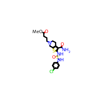 COC(=O)CCCN1CCc2c(sc(N[S+]([O-])Nc3ccc(Cl)cc3)c2C(N)=O)C1